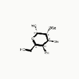 CO[C@@H]1[C@@H](O)[C@@H](O)[C@@H](CO)O[C@@H]1O